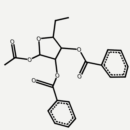 CCC1OC(OC(C)=O)C(OC(=O)c2ccccc2)C1OC(=O)c1ccccc1